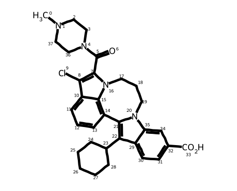 CN1CCN(C(=O)c2c(Cl)c3cccc4c3n2CCCn2c-4c(C3CCCCC3)c3ccc(C(=O)O)cc32)CC1